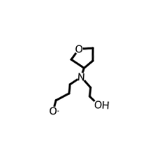 [O]CCCN(CCO)C1CCOC1